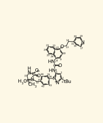 CC(C)(C)c1cc(NC(=O)Nc2ccc(OCCc3ccncc3)c3ccccc23)n(-c2ccc(CN3C(C)(C)CNS3(=O)=O)cc2)n1